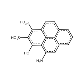 Nc1cc2cccc3ccc4c(S(=O)(=O)O)c(S(=O)(=O)O)c(O)c1c4c32